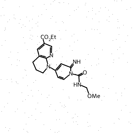 CCOC(=O)c1cnc2c(c1)CCCN2c1ccn(C(=O)NCOC)c(=N)c1